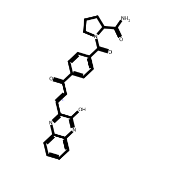 NC(=O)C1CCCN1C(=O)c1ccc(C(=O)/C=C/c2nc3ccccc3nc2O)cc1